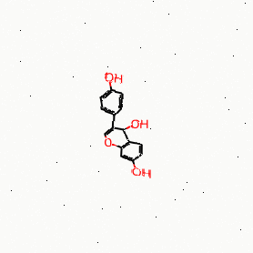 Oc1ccc(C2=COc3cc(O)ccc3C2O)cc1